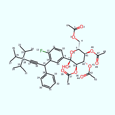 CC(=O)OC[C@H]1O[C@@](O)(c2ccc(F)c(C(C#C[Si](C(C)C)(C(C)C)C(C)C)c3ccccc3)c2)[C@H](OC(C)=O)[C@@H](OC(C)=O)[C@@H]1OC(C)=O